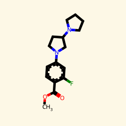 COC(=O)c1ccc(N2CCC(N3CCCC3)C2)cc1F